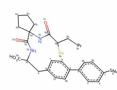 CSc1ccc(-c2ccc(CC(NC(=O)C3(NC(=O)C(S)CC(C)C)CCCC3)C(=O)O)cc2)cc1